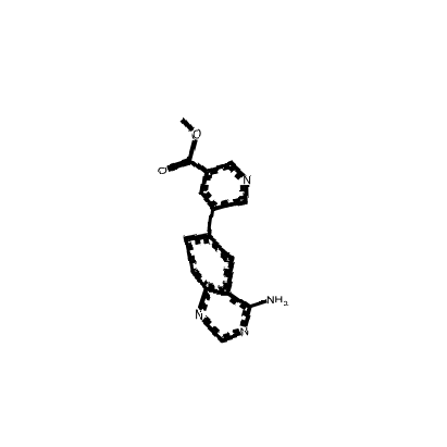 COC(=O)c1cncc(-c2ccc3ncnc(N)c3c2)c1